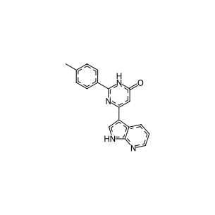 Cc1ccc(-c2nc(-c3c[nH]c4ncccc34)cc(=O)[nH]2)cc1